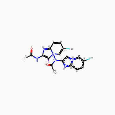 O=C(NC1=C(I)[N+]2(N(C(=O)C(F)(F)F)c3cn4cc(F)ccc4n3)C=C(F)C=CC2=N1)C(F)(F)F